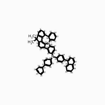 CC1(C)c2cccc3c2-c2c1ccc1c4cc(N(c5ccc(-c6ccccc6)cc5)c5ccc(-c6cccc7ccccc67)cc5)ccc4n(c21)-c1ccccc1-3